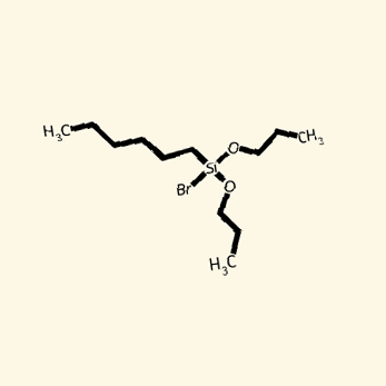 CCCCCC[Si](Br)(OCCC)OCCC